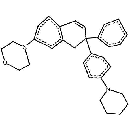 C1=CC(c2ccccc2)(c2ccc(N3CCCCC3)cc2)Cc2cc(N3CCOCC3)ccc21